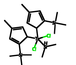 CC1=C[CH]([Ti]([Cl])([Cl])([CH]2C=C(C)C=C2[Si](C)(C)C)[SiH](C)C)C([Si](C)(C)C)=C1